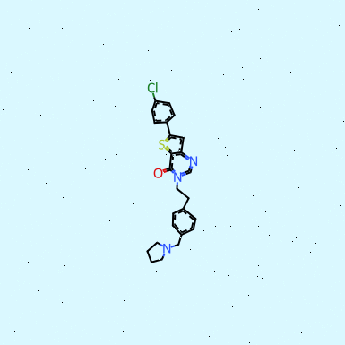 O=c1c2sc(-c3ccc(Cl)cc3)cc2ncn1CCc1ccc(CN2CCCC2)cc1